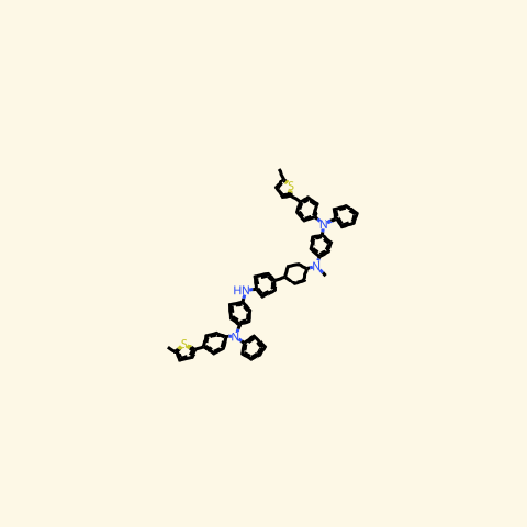 Cc1ccc(-c2ccc(N(c3ccccc3)c3ccc(Nc4ccc(C5CCC(N(C)c6ccc(N(c7ccccc7)c7ccc(-c8ccc(C)s8)cc7)cc6)CC5)cc4)cc3)cc2)s1